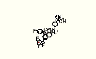 CC[C@]1(C(=O)O)CC[C@H](C(=O)N2CC[C@]3(S(=O)(=O)c4ccc(F)cc4)c4ccc(C(F)(C(F)(F)F)C(F)(F)F)cc4CC[C@H]23)CC1